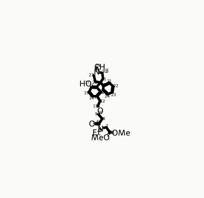 CCN(CC(OC)OC)C(=O)CCOCCc1ccc(O)c(C2(c3ccccc3)CCN(C)CC2)c1